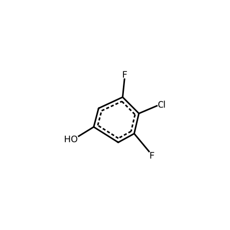 Oc1cc(F)c(Cl)c(F)c1